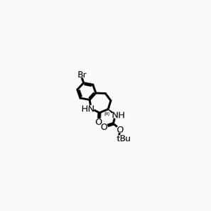 CC(C)(C)OC(=O)N[C@@H]1CCc2cc(Br)ccc2NC1=O